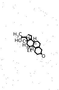 CC[C@H]1C[C@@]2(C)[C@H](CC[C@H]2[C@H](C)O)[C@@H]2CCC3=C(CCC(=O)C3)[C@@H]12